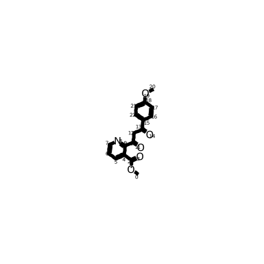 COC(=O)c1cccnc1C(=O)CC(=O)c1ccc(OC)cc1